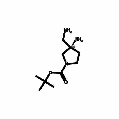 CC(C)(C)OC(=O)N1CC[C@](N)(CN)C1